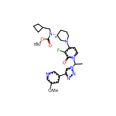 COc1cncc(-c2cn(C(C)n3ccc(N4CCC[C@@H](N(CC5CCC5)C(=O)OC(C)(C)C)C4)c(F)c3=O)nn2)c1